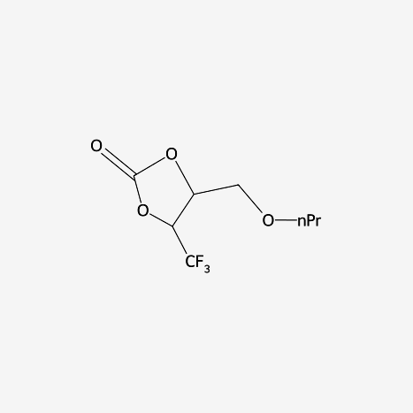 CCCOCC1OC(=O)OC1C(F)(F)F